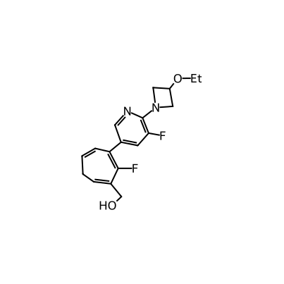 CCOC1CN(c2ncc(C3=C(F)C(CO)=CCC=C3)cc2F)C1